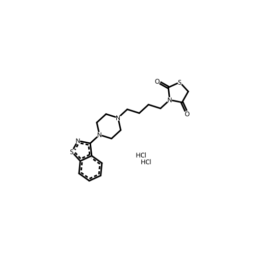 Cl.Cl.O=C1CSC(=O)N1CCCCN1CCN(c2nsc3ccccc23)CC1